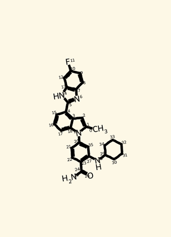 Cc1cc2c(-c3nc4ccc(F)cc4[nH]3)cccc2n1-c1ccc(C(N)=O)c(NC2CCCCC2)c1